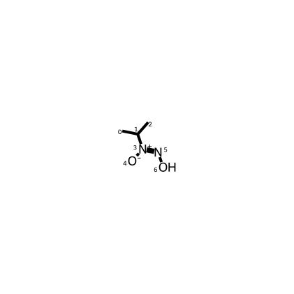 CC(C)/[N+]([O-])=N/O